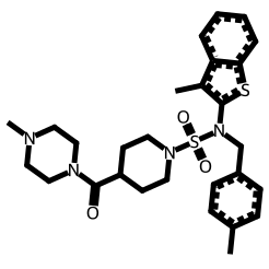 Cc1ccc(CN(c2sc3ccccc3c2C)S(=O)(=O)N2CCC(C(=O)N3CCN(C)CC3)CC2)cc1